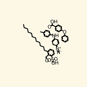 CCCCCCCCCCCCc1cccc(S(=O)(=O)O)c1C=O.Cc1ccc(NC2=CCC(=[N+]=[N-])C=C2)cc1.O=C(O)c1ccc(Oc2ccccc2)cc1